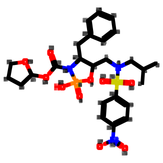 CC(C)CN(CC1OP(=O)(O)N(C(=O)OC2CCCO2)C1Cc1ccccc1)S(=O)(=O)c1ccc([N+](=O)[O-])cc1